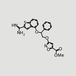 COC(=O)c1cc(OCC(Oc2cccc3sc(C(=N)N)cc23)c2ccccc2)no1